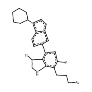 CCC1CNc2c(CCCC(C)=O)c(F)cc(-c3ccc4c(c3)ncn4C3CCCCC3)c21